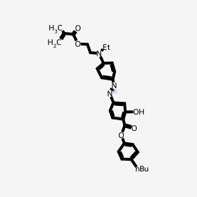 C=C(C)C(=O)OCCN(CC)c1ccc(/N=N/c2ccc(C(=O)Oc3ccc(CCCC)cc3)c(O)c2)cc1